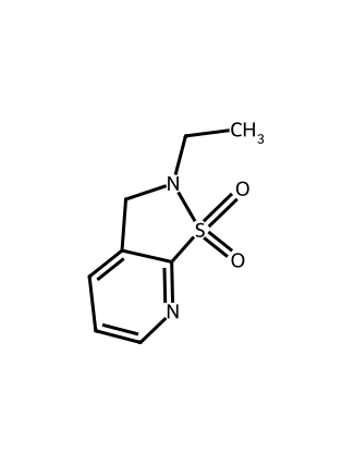 CCN1Cc2cccnc2S1(=O)=O